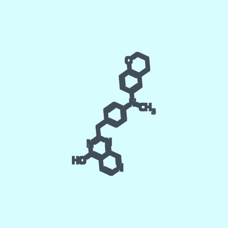 CN(c1ccc(Cc2nc(O)c3ccncc3n2)cc1)c1ccc2c(c1)CCCO2